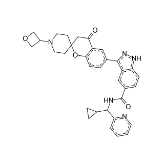 O=C(NC(c1ccccn1)C1CC1)c1ccc2[nH]nc(-c3ccc4c(c3)C(=O)CC3(CCN(C5COC5)CC3)O4)c2c1